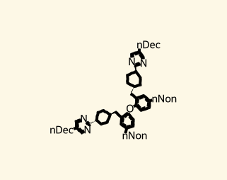 CCCCCCCCCCc1cnc([C@H]2CC[C@H](Cc3cc(CCCCCCCCC)ccc3Oc3ccc(CCCCCCCCC)cc3C[C@H]3CC[C@H](c4ncc(CCCCCCCCCC)cn4)CC3)CC2)nc1